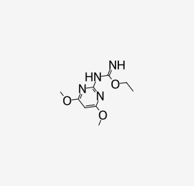 CCOC(=N)Nc1nc(OC)cc(OC)n1